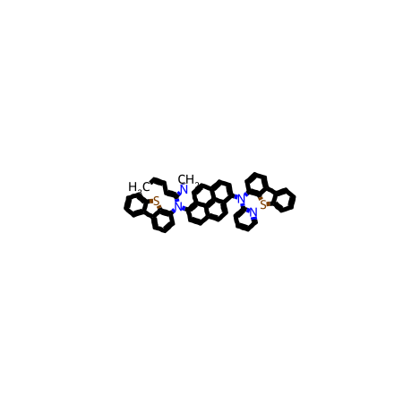 C=N/C(=C\C=C/C)N(c1ccc2ccc3c(N(c4ccccn4)c4cccc5c4sc4ccccc45)ccc4ccc1c2c43)c1cccc2c1sc1ccccc12